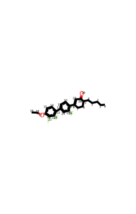 CCCCCC1CCC(c2ccc(-c3ccc(OCC)c(F)c3F)cc2F)=CC1=O